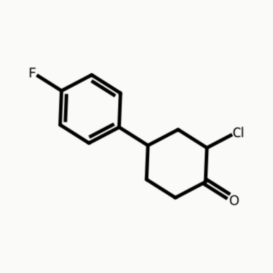 O=C1CCC(c2ccc(F)cc2)CC1Cl